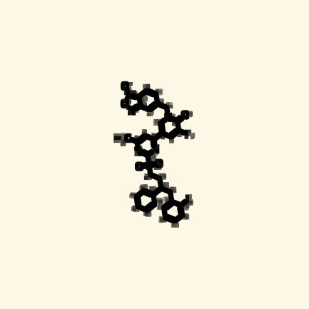 Cc1cc(-c2cc(F)c(=O)n(Cc3ccc4c(c3)no[n+]4[O-])c2)nc(S(=O)(=O)CCC(Cc2ccccc2F)c2ccccc2)n1